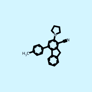 Cc1ccc(-c2cc(N3CCCC3)c(C#N)c3c2-c2ccccc2C3)cc1